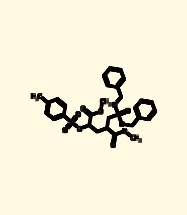 COC(=O)C(CC(OS(=O)(=O)c1ccc(C)cc1)C(=O)OC)CP(=O)(OCc1ccccc1)OCc1ccccc1